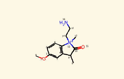 COc1ccc2c(c1)C(C)C(=O)[N+]2(C)CCN